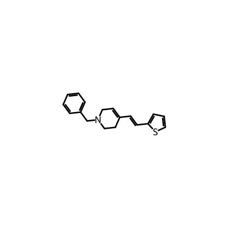 C(=Cc1cccs1)C1=CCN(Cc2ccccc2)CC1